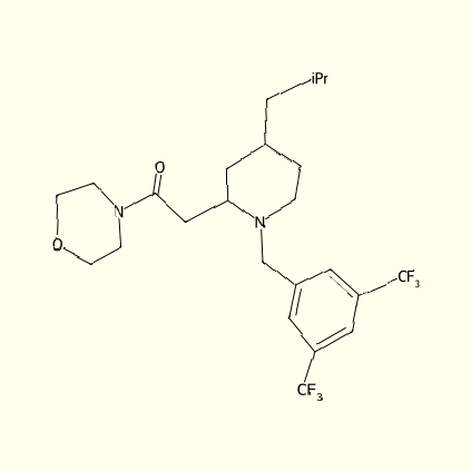 CC(C)CC1CCN(Cc2cc(C(F)(F)F)cc(C(F)(F)F)c2)C(CC(=O)N2CCOCC2)C1